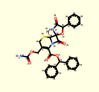 NC(=O)OCC1=C(C(=O)OC(c2ccccc2)c2ccccc2)N2C(=O)C3(NC(=O)C(c4ccccc4)O3)[C@@H]2SC1